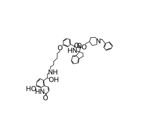 O=C(NC1(C(=O)OCC2CCN(Cc3ccccc3)CC2)CCc2ccccc21)c1cccc(OCCCCCCNCC(O)c2ccc(O)c3[nH]c(=O)ccc23)c1